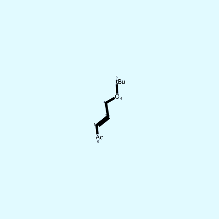 CC(=O)/C=C/COC(C)(C)C